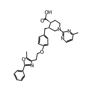 Cc1ccnc(N2CC[C@H](C(=O)O)[C@H](Cc3ccc(OCCc4nc(-c5ccccc5)oc4C)cc3)C2)n1